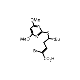 COc1cc(OC)nc(SC(CC=C(Br)C(=O)O)C(C)(C)C)n1